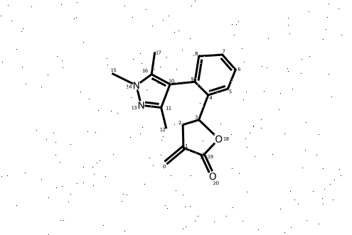 C=C1CC(c2ccccc2-c2c(C)nn(C)c2C)OC1=O